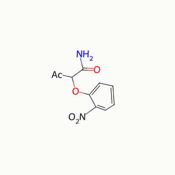 CC(=O)C(Oc1ccccc1[N+](=O)[O-])C(N)=O